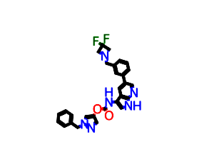 O=C(Nc1c[nH]c2ncc(-c3cccc(CN4CC(F)(F)C4)c3)cc12)Oc1cnn(Cc2ccccc2)c1